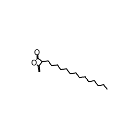 C=C1OC(=O)C1CCCCCCCCCCCCCC